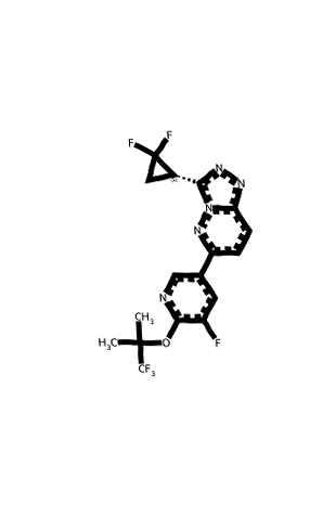 CC(C)(Oc1ncc(-c2ccc3nnc([C@@H]4CC4(F)F)n3n2)cc1F)C(F)(F)F